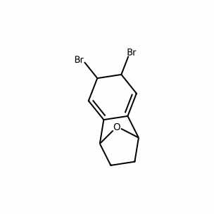 BrC1C=C2C(=CC1Br)C1CCC2O1